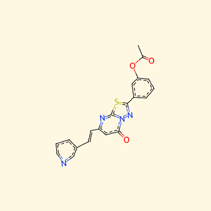 CC(=O)Oc1cccc(-c2nn3c(=O)cc(/C=C/c4cccnc4)nc3s2)c1